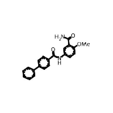 COc1ccc(NC(=O)c2ccc(-c3ccccc3)cc2)cc1C(N)=O